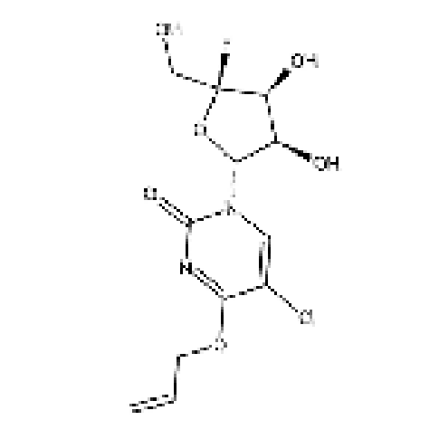 C=CCOc1nc(=O)n([C@@H]2O[C@](F)(CO)[C@@H](O)[C@H]2O)cc1Cl